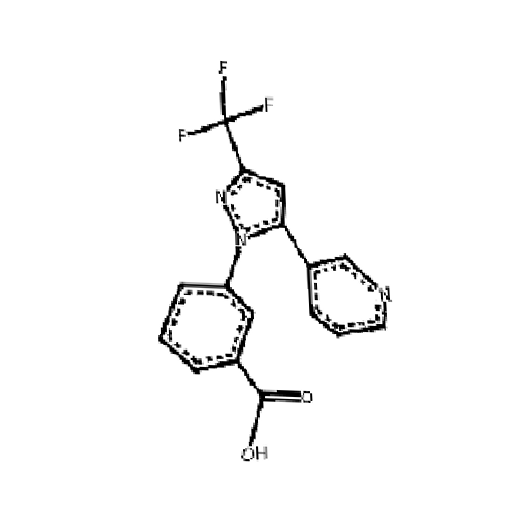 O=C(O)c1cccc(-n2nc(C(F)(F)F)cc2-c2cccnc2)c1